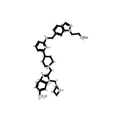 COCCn1ncc2ccc(COc3cccc(C4CCN(Cc5nc6ccc(C(=O)O)cc6n5C[C@@H]5CCO5)CC4)n3)cc21